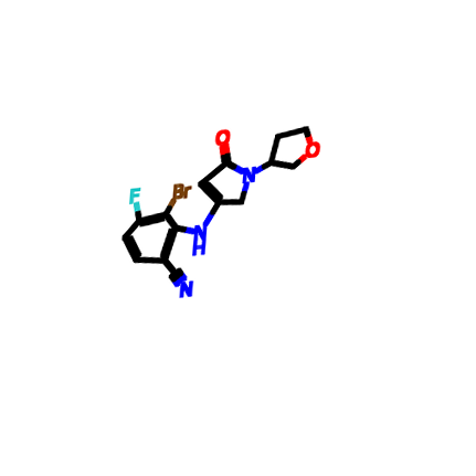 N#Cc1ccc(F)c(Br)c1NC1=CC(=O)N(C2CCOC2)C1